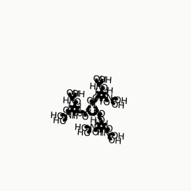 O=C(NC(CO)CO)c1c(I)c(OCC(=O)N2CCN(C(=O)COc3c(I)c(C(=O)NC(CO)CO)c(I)c(C(=O)NC(CO)CO)c3I)CCN(C(=O)COc3c(I)c(C(=O)NC(CO)CO)c(I)c(C(=O)NC(CO)CO)c3I)CC2)c(I)c(C(=O)NC(CO)CO)c1I